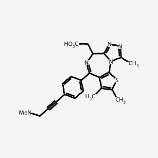 CNCC#Cc1ccc(C2=NC(CC(=O)O)c3nnc(C)n3-c3sc(C)c(C)c32)cc1